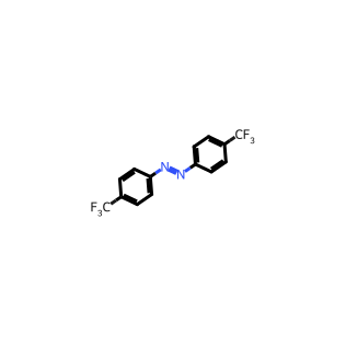 FC(F)(F)c1ccc(N=Nc2ccc(C(F)(F)F)cc2)cc1